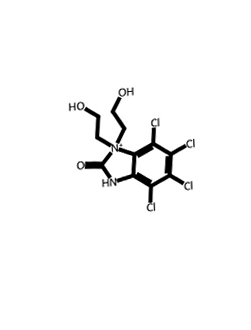 O=C1Nc2c(Cl)c(Cl)c(Cl)c(Cl)c2[N+]1(CCO)CCO